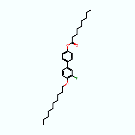 CCCCCCCCCCOc1ccc(-c2ccc(OC(=O)CCCCCCCC)cc2)cc1F